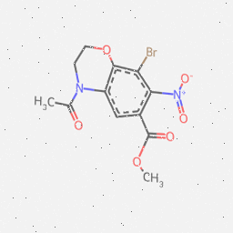 COC(=O)c1cc2c(c(Br)c1[N+](=O)[O-])OCCN2C(C)=O